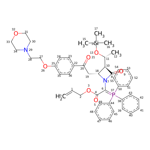 C=CCOC(=O)C(N1C(=O)[C@H]([C@@H](C)O[Si](C)(C)C)[C@H]1CC(=O)c1ccc(OCCN2CCOCC2)cc1)=P(c1ccccc1)(c1ccccc1)c1ccccc1